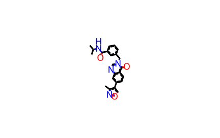 Cc1nocc1-c1ccc2c(=O)n(Cc3cccc(C(=O)NC(C)C)c3)cnc2c1